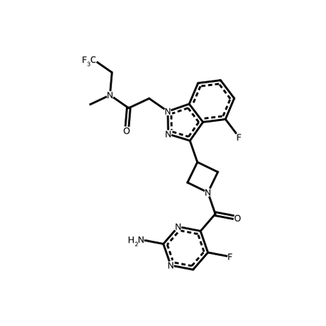 CN(CC(F)(F)F)C(=O)Cn1nc(C2CN(C(=O)c3nc(N)ncc3F)C2)c2c(F)cccc21